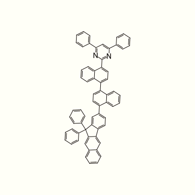 c1ccc(-c2cc(-c3ccccc3)nc(-c3ccc(-c4ccc(-c5ccc6c(c5)C(c5ccccc5)(c5ccccc5)c5cc7ccccc7cc5-6)c5ccccc45)c4ccccc34)n2)cc1